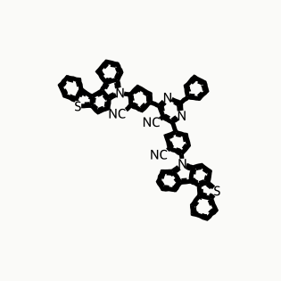 N#Cc1cc(-c2nc(-c3ccccc3)nc(-c3ccc(-n4c5ccccc5c5c6c(ccc54)sc4ccccc46)c(C#N)c3)c2C#N)ccc1-n1c2ccccc2c2c3c(ccc21)sc1ccccc13